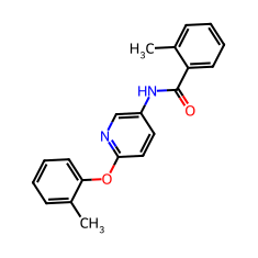 Cc1ccccc1Oc1ccc(NC(=O)c2ccccc2C)cn1